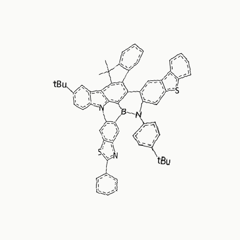 CC(C)(C)c1ccc(N2B3c4cc5nc(-c6ccccc6)sc5cc4-n4c5ccc(C(C)(C)C)cc5c5c6c(c(c3c54)-c3cc4c(cc32)sc2ccccc24)-c2ccccc2C6(C)C)cc1